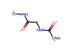 CCNC(=O)CNC(=O)OC